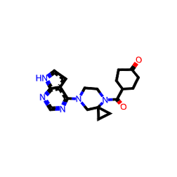 O=C1CCC(C(=O)N2CCN(c3ncnc4[nH]ccc34)CC23CC3)CC1